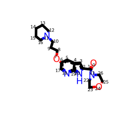 O=C(c1cc2cc(OCCCN3CCCCC3)cnc2[nH]1)N1CCOCC1